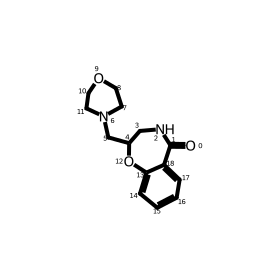 O=C1NCC(CN2CCOCC2)Oc2ccccc21